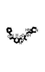 CC(C(=O)NCc1cc2cnccc2[nH]1)n1cnc2c(c1=O)NC(c1coc(-c3ccccc3)n1)CC2